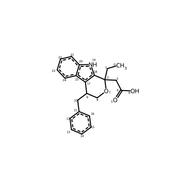 CCC1(CC(=O)O)OCC(Cc2ccccc2)c2c1[nH]c1ccccc21